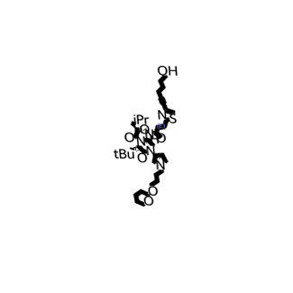 CC(C)C[C@H]1ON(C(=O)/C=C/c2nc(C#CCCCCO)cs2)[C@H]2CN([C@@H]3CCN(CCCCOC4CCCCO4)C3)C(=O)[C@H](CC(C)(C)C)N2C1=O